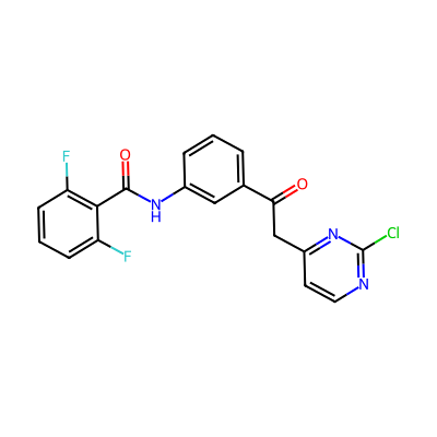 O=C(Cc1ccnc(Cl)n1)c1cccc(NC(=O)c2c(F)cccc2F)c1